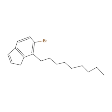 CCCCCCCCCc1c(Br)ccc2c1CC=C2